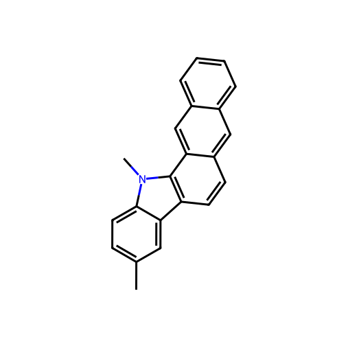 Cc1ccc2c(c1)c1ccc3cc4ccccc4cc3c1n2C